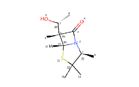 C[C@@H]1N2C(=O)[C@@](C)([C@@H](C)O)[C@H]2SC1(C)C